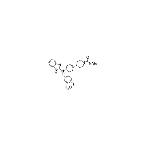 CNC(=O)N1CCC(N2CCC(N(Cc3ccc(F)cc3)c3nc4ccccc4[nH]3)CC2)CC1.O